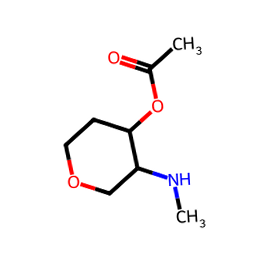 CNC1COCCC1OC(C)=O